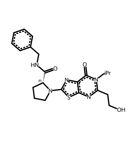 CC(C)n1c(CCO)nc2sc(N3CCC[C@@H]3C(=O)NCc3ccccc3)nc2c1=O